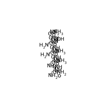 COc1ccc(NC(=O)[C@H](CCCCN)NC(=O)c2cc(NC(=O)[C@H](CCCCN)NC(=O)c3cc(NC(=O)[C@H](CCCCCN)NC(=O)c4cc(NC(=O)[C@H](CCCCCN)NC(=O)[C@@H](N)Cc5ccccc5)ccc4OC)ccc3OC)ccc2OCC(=O)O)cc1C(N)=O